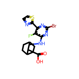 O=C(O)C1C2CCC(CC2)C1Nc1nc(Br)nc(-c2nccs2)c1F